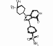 CC[C@]1(O)CC[C@@H](n2nc(-c3ccc(S(N)(=O)=O)cc3)c3c(=O)[nH]ccc32)CC1